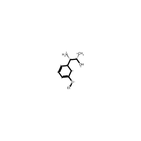 CCOC1=CC=CC([C@H](N)[C@H](C)O)C1